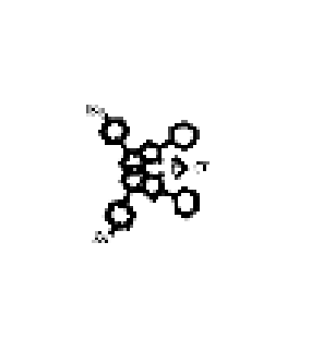 CC(C)(C)c1ccc(-c2cccc3c2C=C(C2CCCCC2)[CH]3[Hf+2]2([CH]3C(C4CCCCC4)=Cc4c(-c5ccc(C(C)(C)C)cc5)cccc43)[CH2]C[CH2]2)cc1.[Cl-].[Cl-]